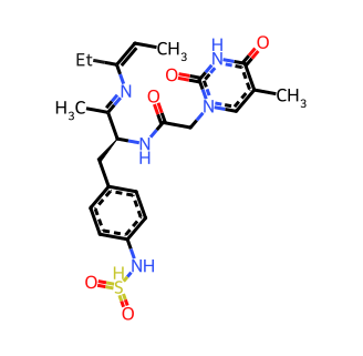 C/C=C(CC)\N=C(/C)[C@H](Cc1ccc(N[SH](=O)=O)cc1)NC(=O)Cn1cc(C)c(=O)[nH]c1=O